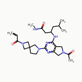 C=CC(=O)N1CC2(CCN(c3nc4c(c(NC(CC(=O)NC)CC(C)C)n3)CN(C(C)=O)C4)C2)C1